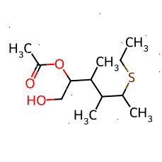 CCSC(C)C(C)C(C)C(CO)OC(C)=O